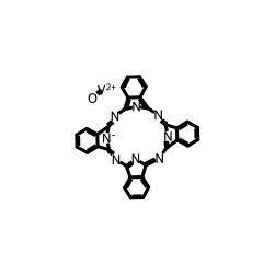 [O]=[V+2].c1ccc2c(c1)-c1nc3nc(nc4[n-]c(nc5[n-]c(nc-2n1)c1ccccc51)c1ccccc41)-c1ccccc1-3